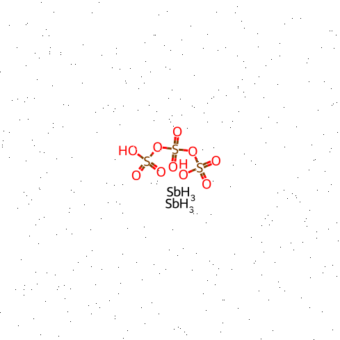 O=S(=O)(O)OS(=O)(=O)OS(=O)(=O)O.[SbH3].[SbH3]